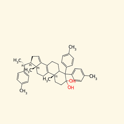 Cc1ccc([C@H](C)[C@H]2CC=C3C4=C(CC[C@@]32C)[C@@]2(C)CCC(O)(O)C(c3ccc(C)cc3)(c3ccc(C)cc3)C2CC4)cc1